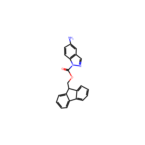 Nc1ccc2c(cnn2C(=O)OCC2c3ccccc3-c3ccccc32)c1